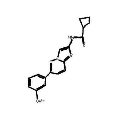 COc1cccc(-c2ccc3nc(NC(=O)C4CCC4)cn3n2)c1